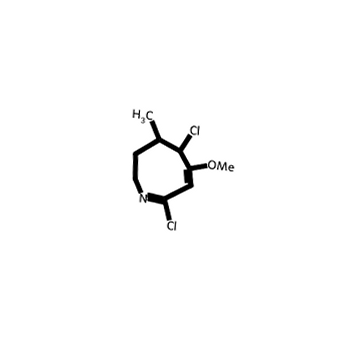 CO/C1=C/C(Cl)=N\CCC(C)C1Cl